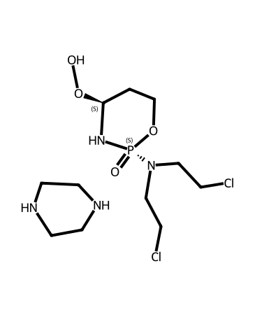 C1CNCCN1.O=[P@@]1(N(CCCl)CCCl)N[C@@H](OO)CCO1